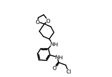 O=C(CCl)Nc1ccccc1NC1CCC2(CC1)OCCO2